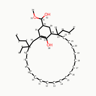 CCCC1(CC)CCCCCCCCCCCCCCCCCC(C)(CCC)C2CC(C(O)OC)CC(=C2O)C1